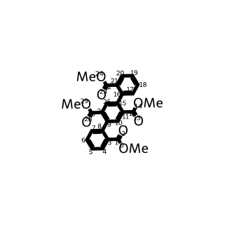 COC(=O)c1ccccc1-c1cc(C(=O)OC)c(-c2ccccc2C(=O)OC)cc1C(=O)OC